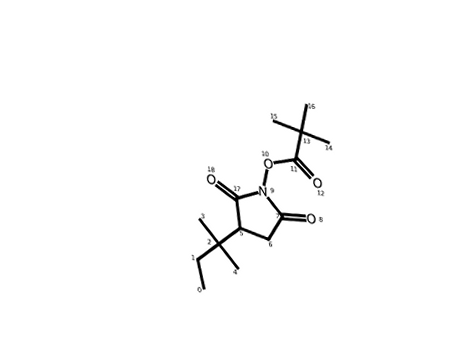 CCC(C)(C)C1CC(=O)N(OC(=O)C(C)(C)C)C1=O